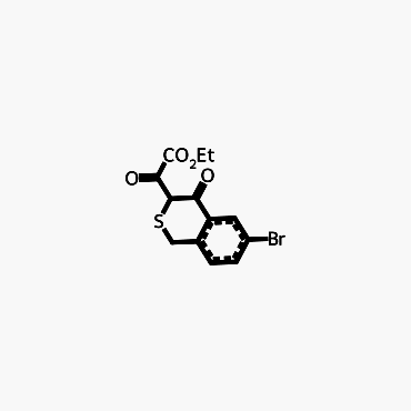 CCOC(=O)C(=O)C1SCc2ccc(Br)cc2C1=O